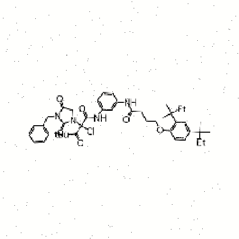 CCC(C)(C)c1ccc(OCCCC(=O)Nc2cccc(NC(=O)C(Cl)(C(=O)C(C)(C)C)N3CC(=O)N(Cc4ccccc4)C3=O)c2)c(C(C)(C)CC)c1